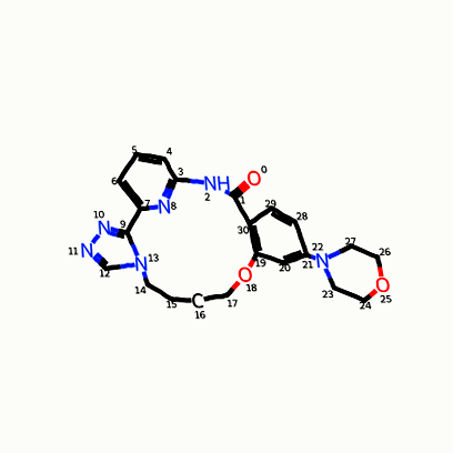 O=C1Nc2cccc(n2)-c2nncn2CCCCOc2cc(N3CCOCC3)ccc21